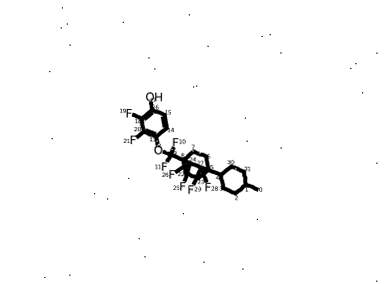 CC1CCC(C23CCC(C(F)(F)Oc4ccc(O)c(F)c4F)(CC2)C(F)(F)C3(F)F)CC1